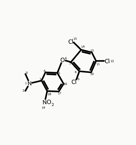 CN(C)c1cc(Oc2c(Cl)cc(Cl)cc2Cl)ccc1[N+](=O)[O-]